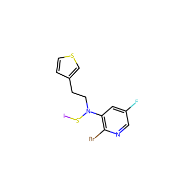 Fc1cnc(Br)c(N(CCc2ccsc2)SI)c1